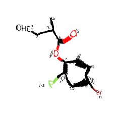 CC(CC=O)C(=O)Oc1ccc(Br)cc1F